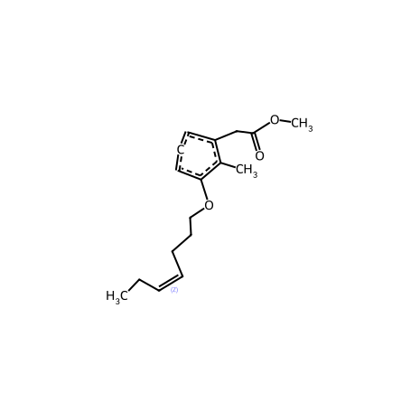 CC/C=C\CCCOc1cccc(CC(=O)OC)c1C